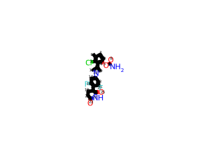 Cc1ccc(OC(N)=O)c(C2CN(c3cc(F)c(C4CCC(=O)NC4=O)c(F)c3)C2)c1Cl